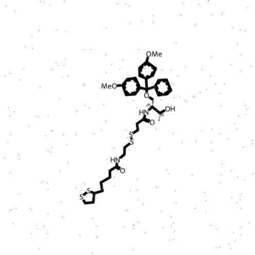 COc1ccc(C(OC[C@@H](NC(=O)CCSSCCNC(=O)CCCCC2CCSS2)[C@@H](C)O)(c2ccccc2)c2ccc(OC)cc2)cc1